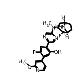 COc1cc(-c2cc(O)c(-c3cnc(N(C)[C@H]4C[C@@H]5CC[C@@H](N5)[C@H]4F)cn3)cc2F)ccn1